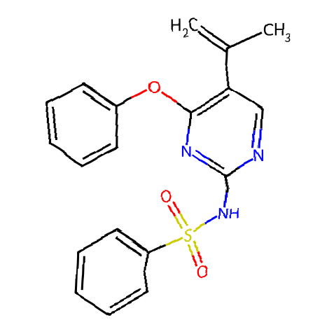 C=C(C)c1cnc(NS(=O)(=O)c2ccccc2)nc1Oc1ccccc1